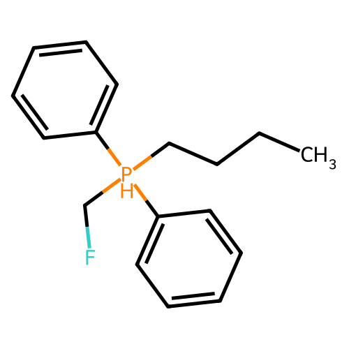 CCCC[PH](CF)(c1ccccc1)c1ccccc1